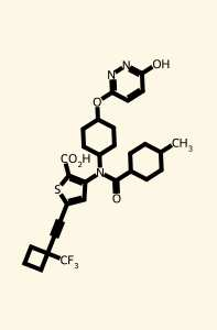 CC1CCC(C(=O)N(c2cc(C#CC3(C(F)(F)F)CCC3)sc2C(=O)O)C2CCC(Oc3ccc(O)nn3)CC2)CC1